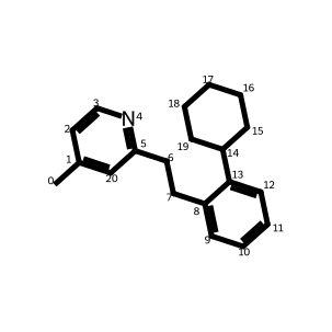 Cc1ccnc(CCc2ccccc2C2CCCCC2)c1